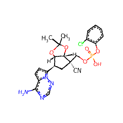 CC1(C)O[C@H]2[C@H](c3ccc4c(N)ncnn34)C[C@](C#N)(COP(=O)(O)Oc3ccccc3Cl)[C@H]2O1